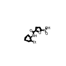 CCc1ccccc1NC(=O)c1ccc([N+](=O)O)o1